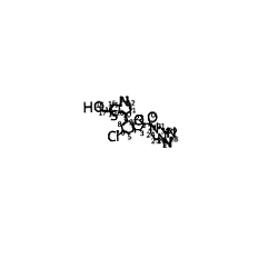 O=C([C@H]1Cc2cc(Cl)cc(-c3ccnc4cc(CO)sc34)c2O1)N1CCn2ncnc2C1